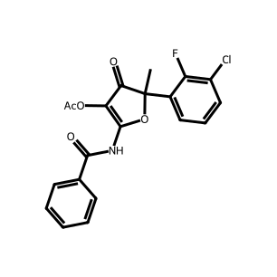 CC(=O)OC1=C(NC(=O)c2ccccc2)OC(C)(c2cccc(Cl)c2F)C1=O